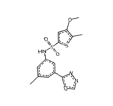 COc1cc(S(=O)(=O)Nc2cc(C)cc(-c3nnco3)c2)sc1C